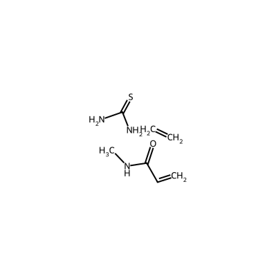 C=C.C=CC(=O)NC.NC(N)=S